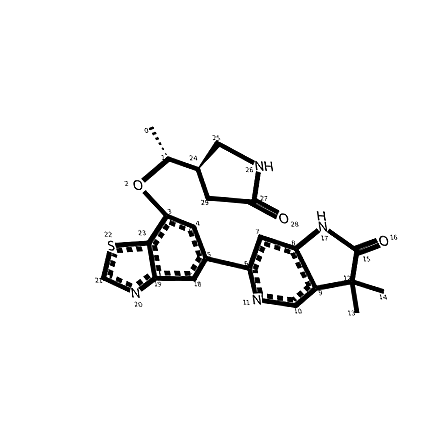 C[C@@H](Oc1cc(-c2cc3c(cn2)C(C)(C)C(=O)N3)cc2ncsc12)[C@H]1CNC(=O)C1